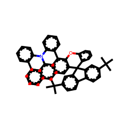 CC(C)(C)c1ccc2c(c1)C1(c3ccccc3Oc3c(-c4ccccc4N(c4ccccc4-c4ccccc4)c4cccc5ccccc45)cccc31)c1cc(C(C)(C)C)ccc1-2